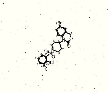 O=C1OCc2cc(Br)ccc2N1C1CCN(S(=O)(=O)c2cccc(Cl)c2Cl)CC1